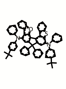 CC(C)(C)c1ccc(N(c2ccccc2)c2cc3c(c4c2sc2ccccc24)-c2c(cc(N(c4ccccc4)c4ccc(C(C)(C)C)cc4)c4c2oc2ccccc24)C3(c2ccccc2)c2ccccc2)cc1